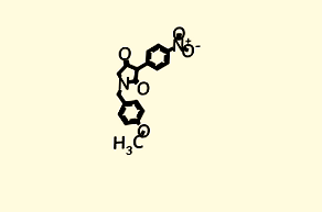 COc1ccc(CN2CC(=O)C(c3ccc([N+](=O)[O-])cc3)C2=O)cc1